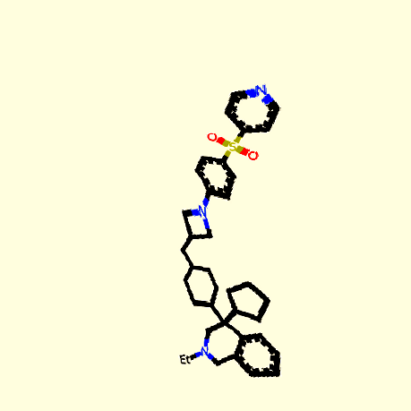 CCN1Cc2ccccc2C(C2CCCC2)(C2CCC(CC3CN(c4ccc(S(=O)(=O)c5ccncc5)cc4)C3)CC2)C1